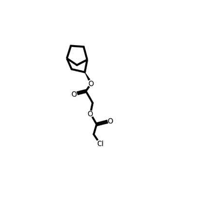 O=C(CCl)OCC(=O)O[C@H]1CC2CCC1C2